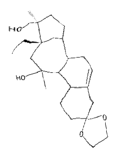 CC[C@]12CC(C)(O)C3C4CCC5(CC4=CCC3C1CC[C@]2(C)O)OCCO5